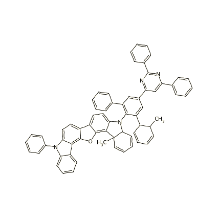 CC1C=CC=CC1c1cc(-c2cc(-c3ccccc3)nc(-c3ccccc3)n2)cc(-c2ccccc2)c1N1c2ccc3c(oc4c3ccc3c4c4ccccc4n3-c3ccccc3)c2C2(C)C=CC=CC12